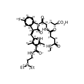 CCN(CC)CCNC(=O)c1c(C)[nH]c(/C=C2\C(=O)N(C(=O)[C@H](CCC(=O)O)NC(=O)CCC(=O)PC)c3ccc(F)cc32)c1C